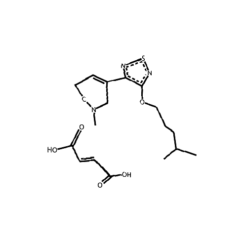 CC(C)CCCOc1nsnc1C1=CCCN(C)C1.O=C(O)C=CC(=O)O